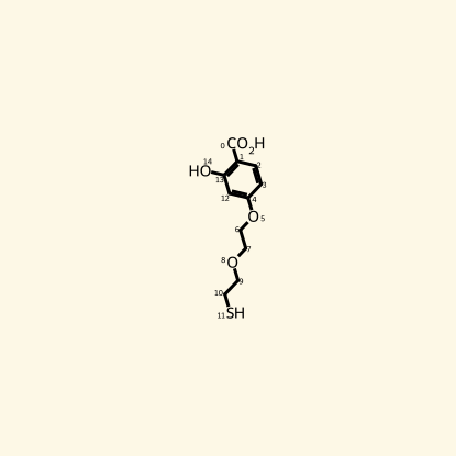 O=C(O)c1ccc(OCCOCCS)cc1O